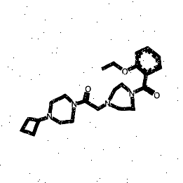 CCOc1ccccc1C(=O)N1CCN(CC(=O)N2CCN(C3CCC3)CC2)CC1